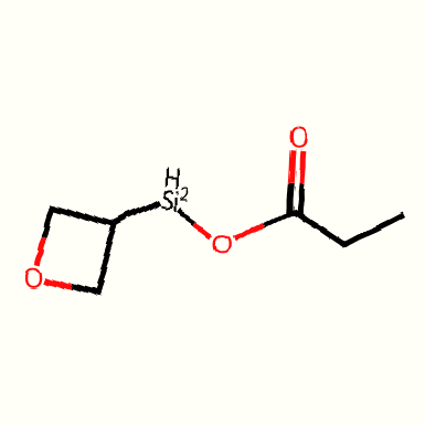 CCC(=O)O[SiH2]C1COC1